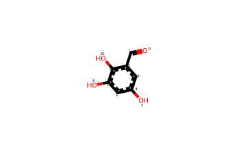 O=Cc1cc(O)cc(O)c1O